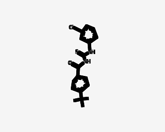 CC(C)(C)c1ccc(C(=O)NC(=S)Nc2cccc(Cl)c2)cc1